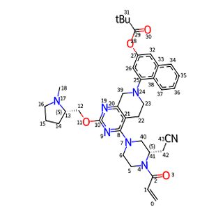 C=CC(=O)N1CCN(c2nc(OC[C@@H]3CCCN3C)nc3c2CCN(c2cc(OC(=O)C(C)(C)C)cc4ccccc24)C3)C[C@@H]1CC#N